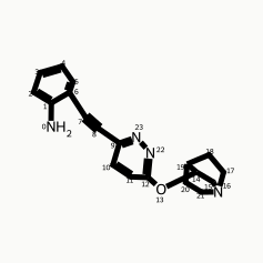 Nc1ccccc1C#Cc1ccc(OC2CN3CCC2CC3)nn1